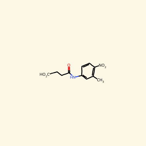 Cc1cc(NC(=O)CCC(=O)O)ccc1[N+](=O)[O-]